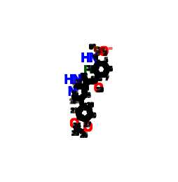 C[S+]([O-])Nc1cccc(C(=O)c2c[nH]c3ncc(-c4ccc5c(c4)OCCO5)cc23)c1F